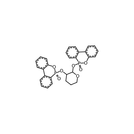 O=P1(OC2CCCOC2OP2(=O)Oc3ccccc3-c3ccccc32)Oc2ccccc2-c2ccccc21